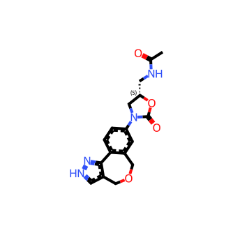 CC(=O)NC[C@H]1CN(c2ccc3c(c2)COCc2c[nH]nc2-3)C(=O)O1